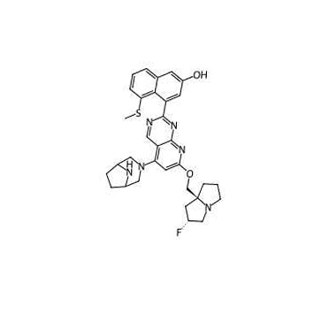 CSc1cccc2cc(O)cc(-c3ncc4c(N5CC6CCC(C5)N6)cc(OC[C@@]56CCCN5C[C@H](F)C6)nc4n3)c12